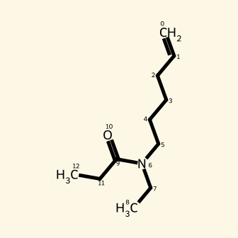 C=CCCCCN(CC)C(=O)CC